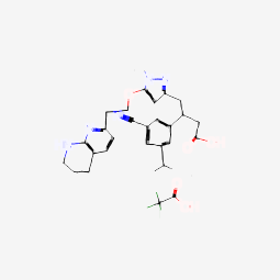 CC(C)c1cc(C#N)cc(C(CC(=O)O)Cc2cc(OCCc3ccc4c(n3)NCCC4)n(C)n2)c1.O=C(O)C(F)(F)F